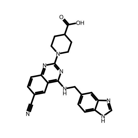 N#Cc1ccc2nc(N3CCC(C(=O)O)CC3)nc(NCc3ccc4[nH]cnc4c3)c2c1